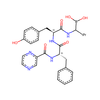 CC(C)C(NC(=O)[C@H](Cc1ccc(O)cc1)NC(=O)[C@H](Cc1ccccc1)NC(=O)c1cnccn1)B(O)O